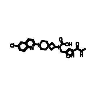 CNC(=O)c1cc(CN(C(=O)O)C2CC3(CCN(c4ccc5cc(Cl)ccc5n4)CC3)C2)on1